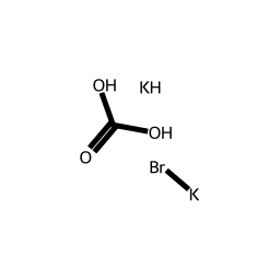 O=C(O)O.[KH].[K][Br]